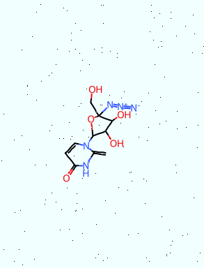 C=C1NC(=O)C=CN1C1OC(CO)(N=[N+]=[N-])C(O)C1O